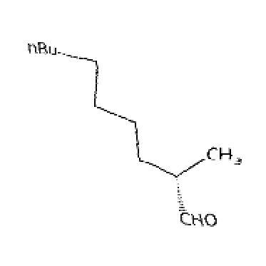 CCCCCCCC[C@H](C)C=O